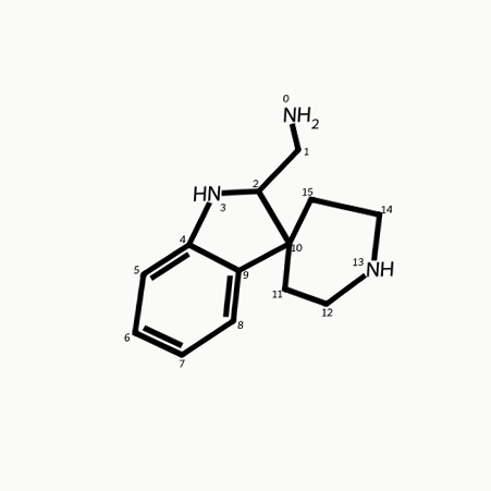 NCC1Nc2ccccc2C12CCNCC2